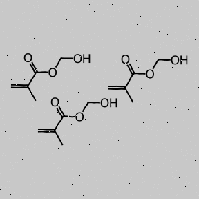 C=C(C)C(=O)OCO.C=C(C)C(=O)OCO.C=C(C)C(=O)OCO